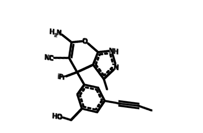 CC#Cc1cc(CO)cc(C2(C(C)C)C(C#N)=C(N)Oc3[nH]nc(C)c32)c1